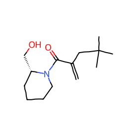 C=C(CC(C)(C)C)C(=O)N1CCCC[C@@H]1CO